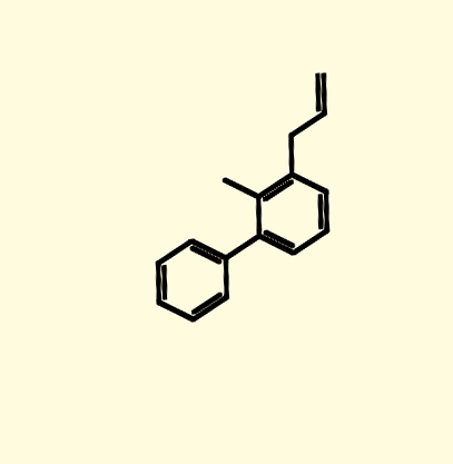 C=CCc1cccc(-c2ccccc2)c1C